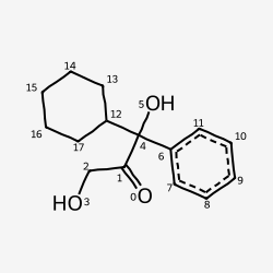 O=C(CO)C(O)(c1ccccc1)C1CCCCC1